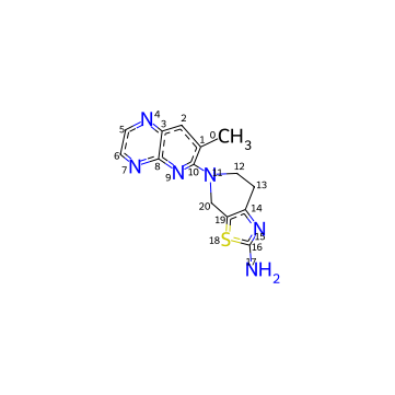 Cc1cc2nccnc2nc1N1CCc2nc(N)sc2C1